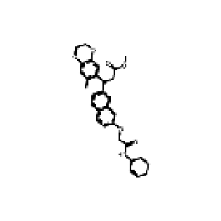 COC(=O)CC(c1ccc2ccc(OCC(=O)NC3C=CCCC3)cc2c1)c1cc2c(cc1C)OCCO2